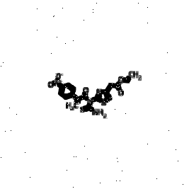 C=C(C(=O)N(C(N)=S)c1nc(CC(=O)OCC)cs1)c1ccc([N+](=O)[O-])cc1